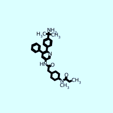 CCC(=O)N(C)C1CCC(CC(=O)Nc2cnc(-c3ccc(C(C)(C)N)cc3)c(-c3ccccc3)c2)CC1